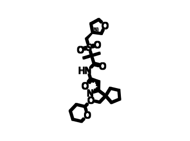 CC(C)(C(=O)Nc1cc(C2(COC3CCCCO3)CCCC2)no1)S(=O)(=O)C[C@H]1CCOC1